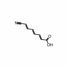 N#CC=CC=CC=CC(=O)O